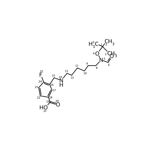 CC(C)(C)ON(C=O)CCCCCCNCc1cc(C(=O)O)ccc1F